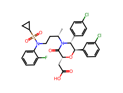 C[C@@H](CCN(c1ccccc1F)S(=O)(=O)C1CC1)N1C(=O)[C@@H](CC(=O)O)O[C@H](c2cccc(Cl)c2)[C@H]1c1ccc(Cl)cc1